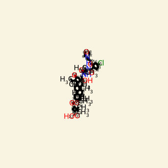 CC(C)C1=C2[C@H]3CC[C@@H]4[C@@]5(C)CC[C@H](OC(=O)[C@H]6C[C@@H](C(=O)O)C6(C)C)C(C)(C)[C@@H]5CC[C@@]4(C)[C@]3(C)CC[C@@]2([C@@H](O)CNC(=O)C(C)(C)NC(=O)c2ccc(Cl)cc2OCCN2CCOCC2)CC1=O